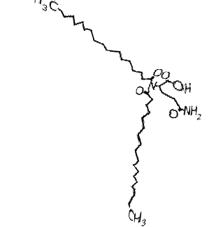 CCCCCCCCCCCCCCCCCC(=O)N(C(=O)CCCCCCCCCCCCCCCCC)C(CCC(N)=O)C(=O)O